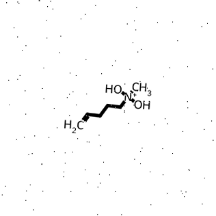 C=CCCC[N+](C)(O)O